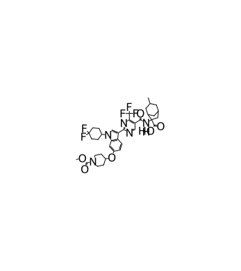 COC(=O)N1CCC(Oc2ccc3c(-c4ncc(C(=O)NC5(C(=O)O)CC6CC(C)CC5C6)c(C(F)(F)F)n4)cn(C4CCC(F)(F)CC4)c3c2)CC1